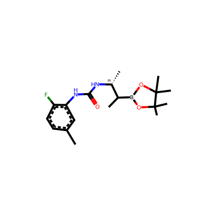 Cc1ccc(F)c(NC(=O)N[C@H](C)C(C)B2OC(C)(C)C(C)(C)O2)c1